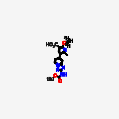 [2H]C([2H])([2H])Oc1nc(C)c(-c2ccn3nc(NC(=O)OC(C)(C)C)nc3c2)cc1C(=O)O